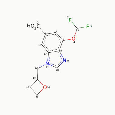 O=C(O)c1cc(OC(F)F)c2ncn(CC3CCO3)c2c1